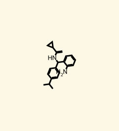 C=C(NC(c1ccc(C(C)C)cc1)c1ccccc1N)C1CC1